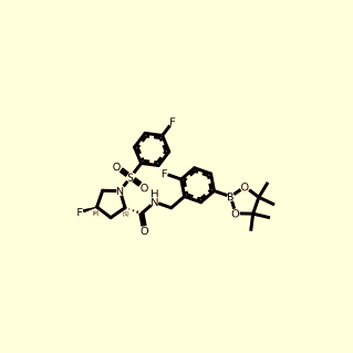 CC1(C)OB(c2ccc(F)c(CNC(=O)[C@@H]3C[C@@H](F)CN3S(=O)(=O)c3ccc(F)cc3)c2)OC1(C)C